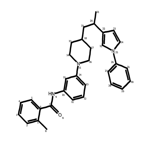 Cc1ccccc1C(=O)Nc1cccc(N2CCC(CC(C)c3ccn(-c4ccccc4)c3)CC2)c1